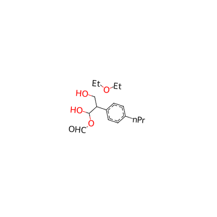 CCCc1ccc(C(CO)C(O)OC=O)cc1.CCOCC